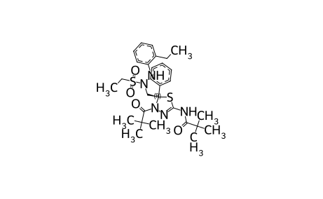 CCc1ccccc1NN(C[C@@]1(c2ccccc2)SC(NC(=O)C(C)(C)C)=NN1C(=O)C(C)(C)C)S(=O)(=O)CC